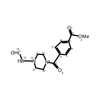 COC(=O)c1ccc(C(=O)N2CCN(BC=O)CC2)cc1